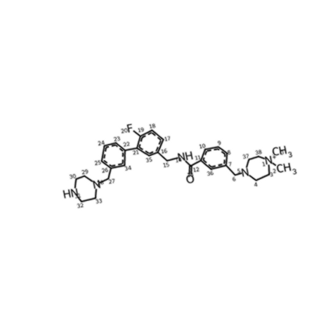 C[N+]1(C)CCN(Cc2cccc(C(=O)NCc3ccc(F)c(-c4cccc(CN5CCNCC5)c4)c3)c2)CC1